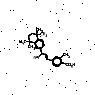 CCCC(/C=C/c1ccc(C(=O)O)c(C)c1)c1ccc2c(c1)C(C)(C)CCC2(C)C